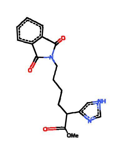 COC(=O)C(CCCCN1C(=O)c2ccccc2C1=O)c1c[nH]cn1